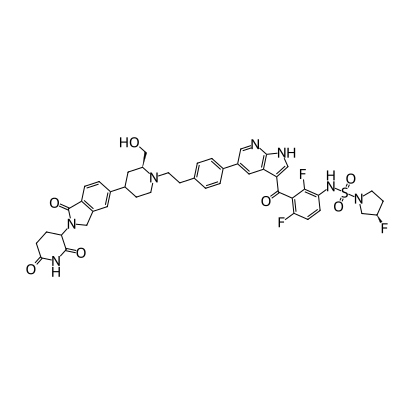 O=C1CCC(N2Cc3cc(C4CCN(CCc5ccc(-c6cnc7[nH]cc(C(=O)c8c(F)ccc(NS(=O)(=O)N9CC[C@@H](F)C9)c8F)c7c6)cc5)[C@H](CO)C4)ccc3C2=O)C(=O)N1